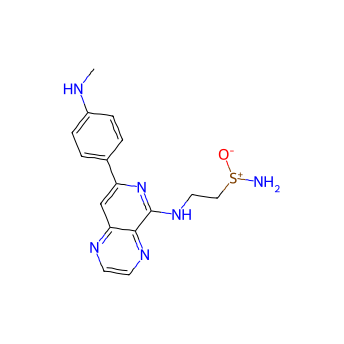 CNc1ccc(-c2cc3nccnc3c(NCC[S+](N)[O-])n2)cc1